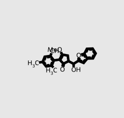 COC1=C(c2c(C)cc(C)cc2C)C(=O)C(C(O)c2cc3ccccc3o2)C1